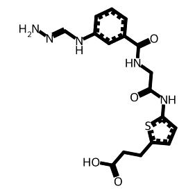 NN=CNc1cccc(C(=O)NCC(=O)Nc2ccc(CCC(=O)O)s2)c1